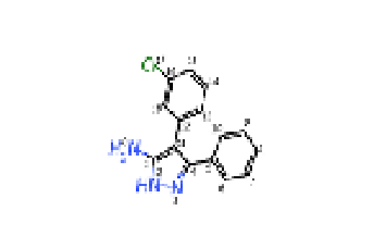 Nc1[nH]nc(-c2ccccc2)c1-c1cccc(Cl)c1